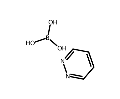 OB(O)O.c1ccnnc1